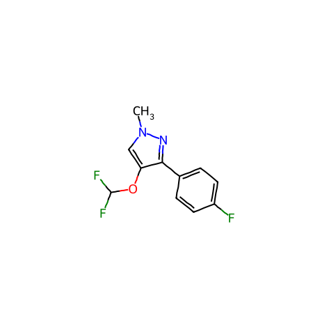 Cn1cc(OC(F)F)c(-c2ccc(F)cc2)n1